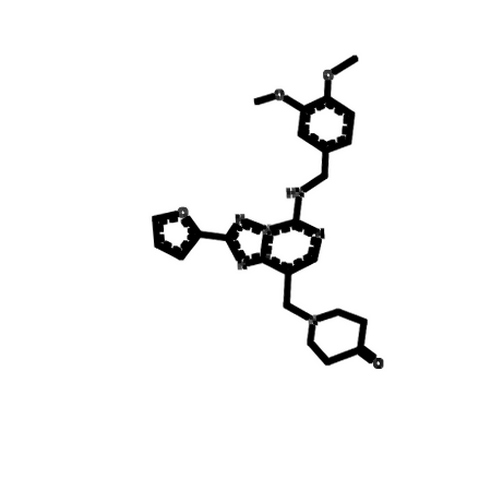 COc1ccc(CNc2ncc(CN3CCC(=O)CC3)c3nc(-c4ccco4)nn23)cc1OC